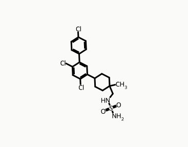 CC1(CNS(N)(=O)=O)CCC(c2cc(-c3ccc(Cl)cc3)c(Cl)cc2Cl)CC1